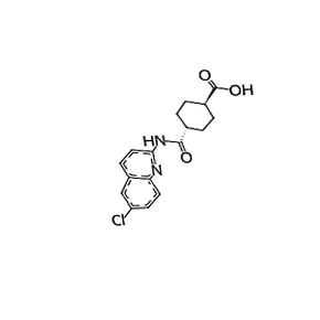 O=C(O)[C@H]1CC[C@H](C(=O)Nc2ccc3cc(Cl)ccc3n2)CC1